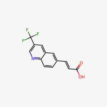 O=C(O)/C=C/c1ccc2ncc(C(F)(F)F)cc2c1